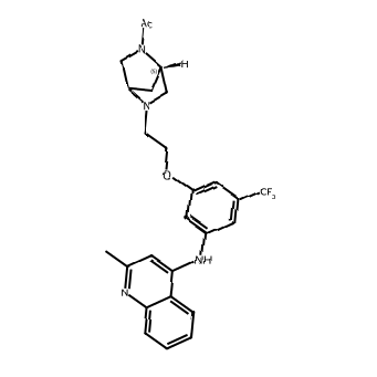 CC(=O)N1CC2C[C@H]1CN2CCOc1cc(Nc2cc(C)nc3ccccc23)cc(C(F)(F)F)c1